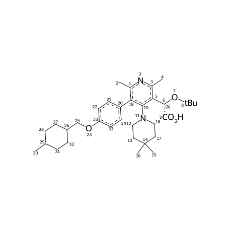 Cc1nc(C)c([C@H](OC(C)(C)C)C(=O)O)c(N2CCC(C)(C)CC2)c1-c1ccc(OCC2CCC(C)CC2)cc1